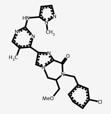 COCC1Cn2cc(-c3nc(Nc4ccnn4C)ncc3C)nc2C(=O)N1Cc1cccc(Cl)c1